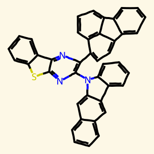 c1ccc2c(c1)-c1cccc3c(-c4nc5c(nc4-n4c6ccccc6c6cc7ccccc7cc64)sc4ccccc45)ccc-2c13